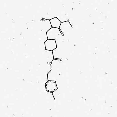 CSC1CC(O)N(CC2CCC(C(=O)NCCc3ccc(C)cc3)CC2)C1=O